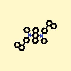 c1ccc(N(c2ccc(-c3cccc4ccccc34)cc2)c2c3ccccc3c(N(c3ccccc3)c3ccc(-c4cccc5ccccc45)cc3)c3ccccc23)cc1